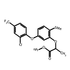 CCCOC(=O)C(C)Oc1cc(Oc2ccc(C(F)(F)F)cc2Cl)ccc1SC